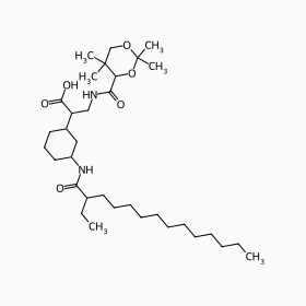 CCCCCCCCCCCCC(CC)C(=O)NC1CCCC(C(CNC(=O)C2OC(C)(C)OCC2(C)C)C(=O)O)C1